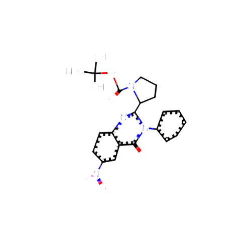 CC(C)(C)OC(=O)N1CCCC1c1nc2ccc([N+](=O)[O-])cc2c(=O)n1-c1ccccc1